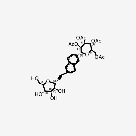 CC(=O)OC[C@H]1O[C@H](c2ccc3cc(C#C[C@H]4O[C@H](CO)[C@@H](O)[C@H](O)[C@@H]4O)ccc3c2)[C@@H](OC(C)=O)[C@@H](OC(C)=O)[C@@H]1OC(C)=O